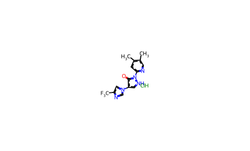 Cc1cnc(-n2[nH]cc(-n3cnc(C(F)(F)F)c3)c2=O)cc1C.Cl